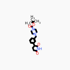 CC(C)(C)OC(=O)N1CCN(Cc2cccc(C3CCC(=O)NC3=O)c2)CC1